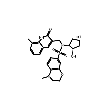 Cc1cccc2cc(CN([C@H]3CCC[C@@H]3O)S(=O)(=O)c3ccc4c(c3)OCCN4C)c(=O)[nH]c12.Cl